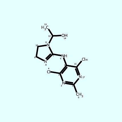 Cc1nc(Cl)c(NC2=NCCN2C(C)O)c(Cl)n1